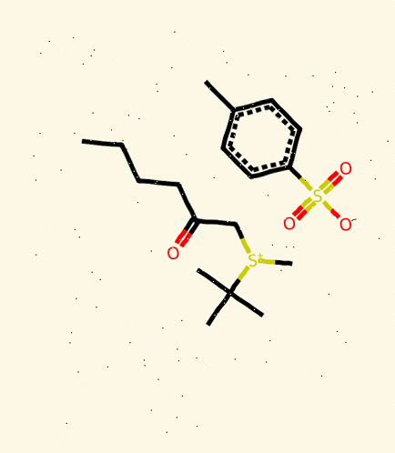 CCCCC(=O)C[S+](C)C(C)(C)C.Cc1ccc(S(=O)(=O)[O-])cc1